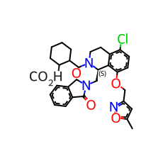 Cc1cc(COc2ccc(Cl)c3c2[C@@H](CN2Cc4ccccc4C2=O)N(C(=O)C2CCCCC2C(=O)O)CC3)no1